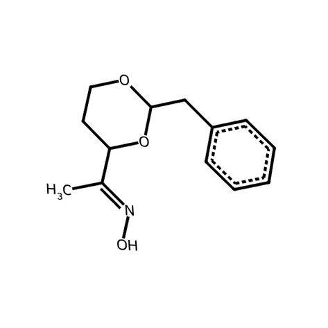 CC(=NO)C1CCOC(Cc2ccccc2)O1